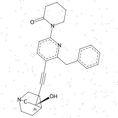 O=C1CCCCN1c1ccc(C#C[C@@]2(O)CN3CCC2CC3)c(Cc2ccccc2)n1